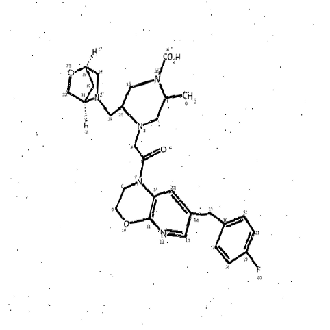 CC1CN(CC(=O)N2CCOc3ncc(Cc4ccc(F)cc4)cc32)C(CN2C[C@H]3C[C@@H]2CO3)CN1C(=O)O